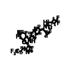 O=C(CC1CC(F)(F)C1)NC(c1cnn2cc([C@@H](NC(=O)c3cnnn3CCC(F)(F)F)C3CCC(F)(F)CC3)nc2c1)C1CC1